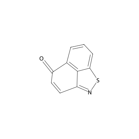 O=C1C=Cc2nsc3cccc1c23